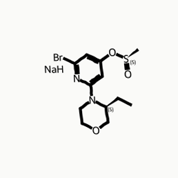 CC[C@H]1COCCN1c1cc(O[S@@](C)=O)cc(Br)n1.[NaH]